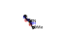 COc1cccc(CCC(=O)Nc2sc3c(c2C#N)CCN(C(=O)CCc2ccccn2)C3)c1